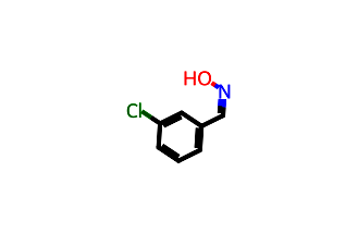 O/N=C\c1cccc(Cl)c1